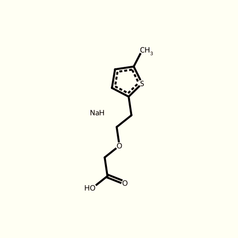 Cc1ccc(CCOCC(=O)O)s1.[NaH]